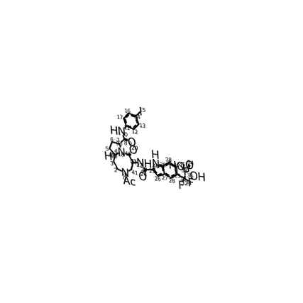 CC(=O)N1CC[C@H]2CC[C@@H](C(=O)Nc3ccc(I)cc3)N2C(=O)[C@@H](NC(=O)c2cc3cc(C(F)(F)P(=O)(O)O)ccc3[nH]2)C1